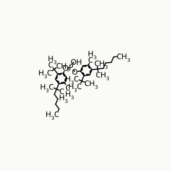 CCCCCC(C)(C)c1cc(C(C)(C)C)c(OP(O)Oc2cc(C)c(C(C)(C)CCCCC)cc2C(C)(C)C)cc1C